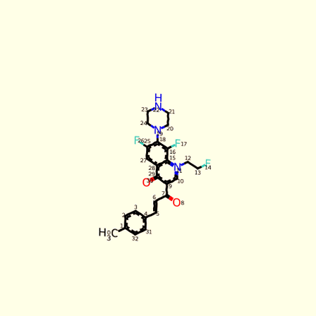 Cc1ccc(/C=C/C(=O)c2cn(CCF)c3c(F)c(N4CCNCC4)c(F)cc3c2=O)cc1